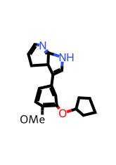 COc1ccc(C2=CNC3=NC=CCC23)cc1OC1CCCC1